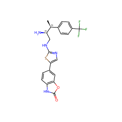 C[C@@H](c1ccc(C(F)(F)F)cc1)[C@H](N)CNc1ncc(-c2ccc3[nH]c(=O)oc3c2)s1